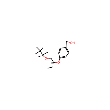 CC[C@H](CO[Si](C)(C)C(C)(C)C)Oc1ccc(CO)cc1